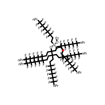 CCCC(F)(F)C(F)(F)C(F)(F)C(F)(F)C(F)(F)CCC(C)O[Si](CCC(F)(F)C(F)(F)C(F)(F)C(F)(F)C(F)(F)CCC)(OCC)OC(CCC(F)(F)C(F)(F)C(F)(F)C(F)(F)C(F)(F)CCC)(CCC(F)(F)C(F)(F)C(F)(F)C(F)(F)C(F)(F)CCC)C(CCC(F)(F)C(F)(F)C(F)(F)C(F)(F)C(F)(F)CCC)(CCC(F)(F)C(F)(F)C(F)(F)C(F)(F)C(F)(F)CCC)CCC(F)(F)C(F)(F)C(F)(F)C(F)(F)C(F)(F)CCC